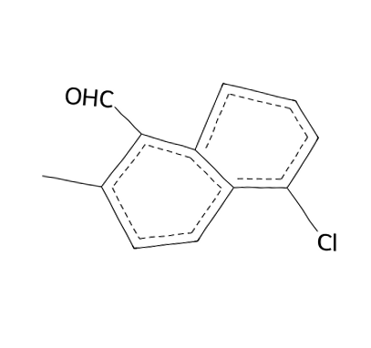 Cc1ccc2c(Cl)cccc2c1C=O